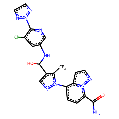 NC(=O)c1ccc(-n2ncc(C(O)Nc3cnc(-n4nccn4)c(Cl)c3)c2C(F)(F)F)c2ccnn12